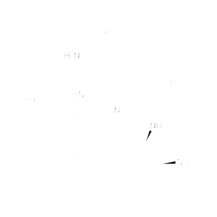 Cc1ccccc1Nc1nc(N[C@@H]2CCCC[C@@H]2N)c(F)cc1C(N)=O